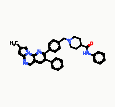 Cc1cc2ncc3cc(-c4ccccc4)c(-c4ccc(CN5CCC(C(=O)Nc6ccccc6)CC5)cc4)nc3n2c1